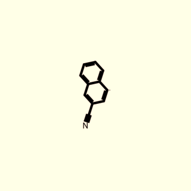 N#Cc1c[c]c2ccccc2c1